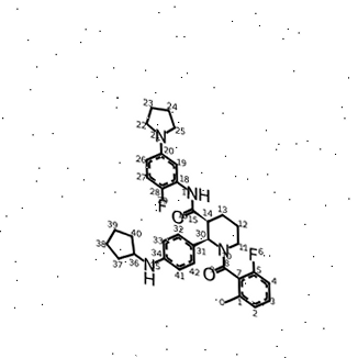 Cc1cccc(F)c1C(=O)N1CCC[C@H](C(=O)Nc2cc(N3CCCC3)ccc2F)[C@@H]1c1ccc(NC2CCCC2)cc1